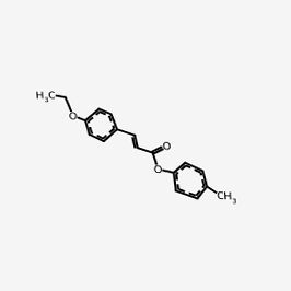 CCOc1ccc(C=CC(=O)Oc2ccc(C)cc2)cc1